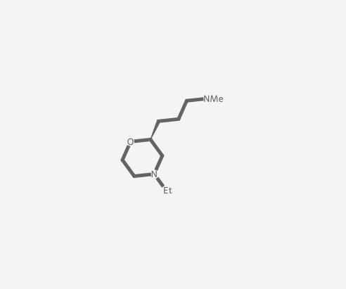 CCN1CCO[C@@H](CCCNC)C1